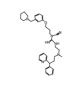 CN(CCNC(=N)N(C#N)CCCOc1cccc(CN2CCCCC2)c1)CCC(c1ccccc1)c1ccccn1